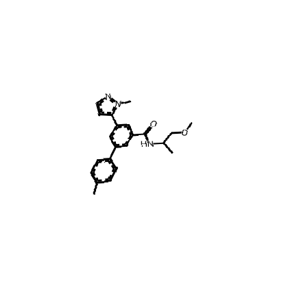 COCC(C)NC(=O)c1cc(-c2ccc(C)cc2)cc(-c2ccnn2C)c1